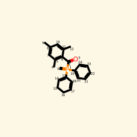 C=P(C(=O)c1c(C)cc(C)cc1C)(C1=CCCC=C1)c1ccccc1